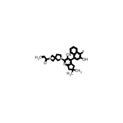 C=CC(=O)N1CC2(CCN(c3nc4c(c(-c5cc(O)c(F)c6ccccc56)c3C#N)CC(C)(C)C4)C2)C1